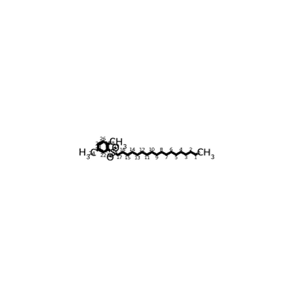 CCCCCCCCCCCCCCCCCCS(=O)(=O)c1cc(C)ccc1C